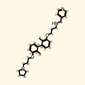 Cc1c(OCCCNCc2ccncc2)cccc1-c1cccc(OCCCN2CCCC2)c1C